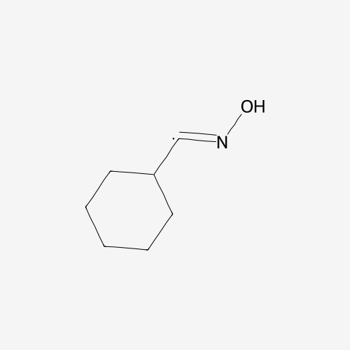 O/N=[C]/C1CCCCC1